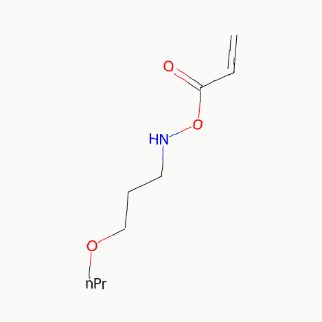 C=CC(=O)ONCCCOCCC